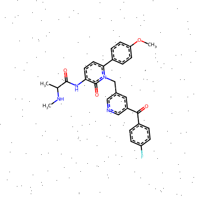 CNC(C)C(=O)Nc1ccc(-c2ccc(OC)cc2)n(Cc2cncc(C(=O)c3ccc(F)cc3)c2)c1=O